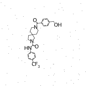 O=C(Nc1ccc(C(F)(F)F)cc1)N1CCC2(CCN(C(=O)c3ccc(CO)cc3)CC2)C1